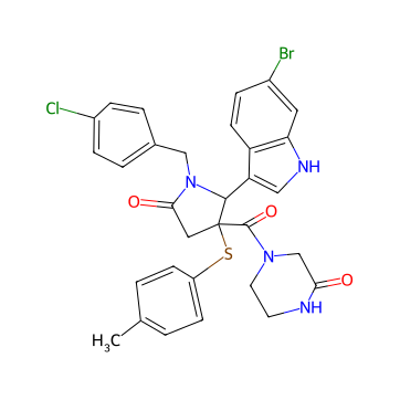 Cc1ccc(SC2(C(=O)N3CCNC(=O)C3)CC(=O)N(Cc3ccc(Cl)cc3)C2c2c[nH]c3cc(Br)ccc23)cc1